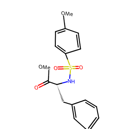 COC(=O)[C@@H](Cc1ccccc1)NS(=O)(=O)c1ccc(OC)cc1